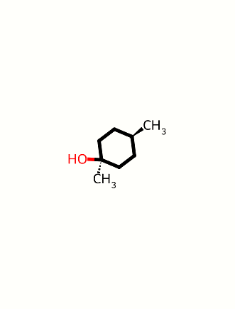 C[C@H]1CC[C@@](C)(O)CC1